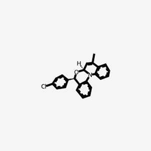 CC1=C[C@@H]2O[C@H](c3ccc(Cl)cc3)c3ccccc3N2c2ccccc21